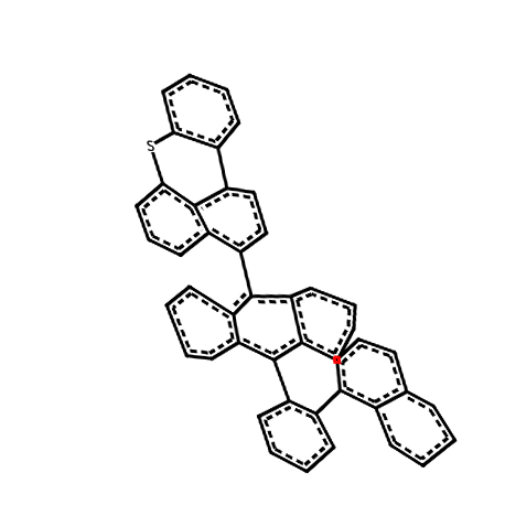 c1ccc2c(c1)Sc1cccc3c(-c4c5ccccc5c(-c5ccccc5-c5cccc6ccccc56)c5ccccc45)ccc-2c13